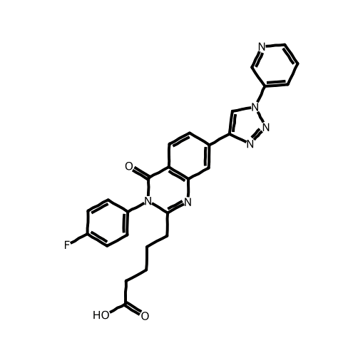 O=C(O)CCCCc1nc2cc(-c3cn(-c4cccnc4)nn3)ccc2c(=O)n1-c1ccc(F)cc1